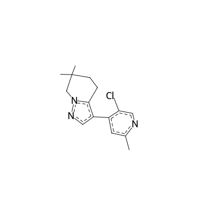 Cc1cc(-c2cnn3c2CCC(C)(C)C3)c(Cl)cn1